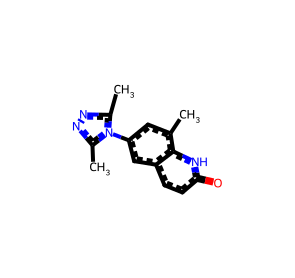 Cc1cc(-n2c(C)nnc2C)cc2ccc(=O)[nH]c12